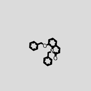 O=c1ccc2cccc(OCc3ccccc3)c2n1Cc1ccccc1